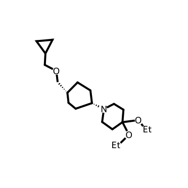 CCOC1(OCC)CCN([C@H]2CC[C@@H](COCC3CC3)CC2)CC1